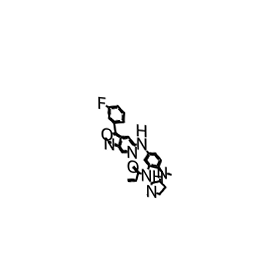 C=CC(=O)Nc1cc(Nc2cc3c(-c4cccc(F)c4)onc3cn2)ccc1N(C)C1CCN(C)C1